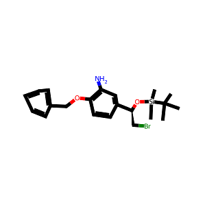 CC(C)(C)[Si](C)(C)O[C@@H](CBr)c1ccc(OCc2ccccc2)c(N)c1